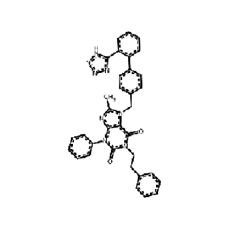 Cc1nc2c(c(=O)n(CCc3ccccc3)c(=O)n2-c2ccccc2)n1Cc1ccc(-c2ccccc2-c2nnn[nH]2)cc1